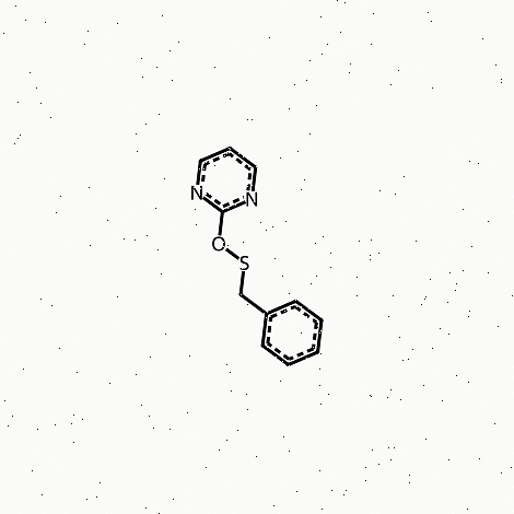 c1ccc(CSOc2ncccn2)cc1